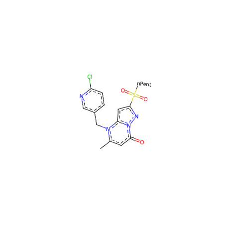 CCCCCS(=O)(=O)c1cc2n(Cc3ccc(Cl)nc3)c(C)cc(=O)n2n1